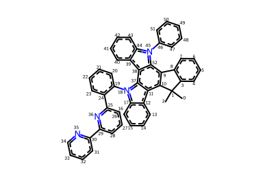 CC1(C)c2ccccc2-c2c1c1c3ccccc3n(-c3ccccc3-c3cccc(-c4ccccn4)n3)c1c1c3ccccc3n(-c3ccccc3)c21